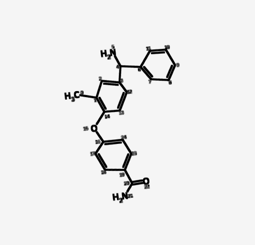 Cc1cc(C(N)c2ccccc2)ccc1Oc1ccc(C(N)=O)cc1